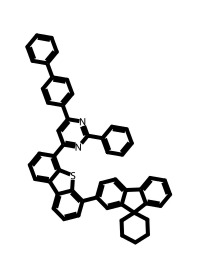 c1ccc(-c2ccc(-c3cc(-c4cccc5c4sc4c(-c6ccc7c(c6)C6(CCCCC6)c6ccccc6-7)cccc45)nc(-c4ccccc4)n3)cc2)cc1